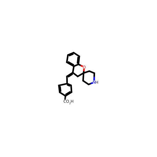 O=C(O)c1ccc(C=C2CC3(CCNCC3)Oc3ccccc32)cc1